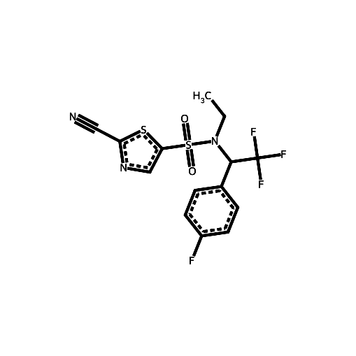 CCN(C(c1ccc(F)cc1)C(F)(F)F)S(=O)(=O)c1cnc(C#N)s1